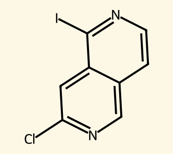 Clc1cc2c(I)nccc2cn1